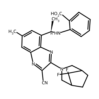 Cc1cc([C@@H](C)Nc2ccccc2C(=O)O)c2nc(N3CC4CCC(C3)C4(F)F)c(C#N)nc2c1